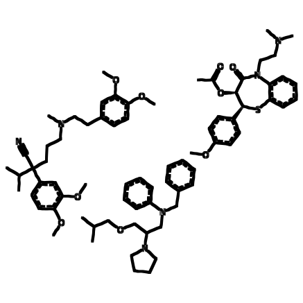 CC(C)COCC(CN(Cc1ccccc1)c1ccccc1)N1CCCC1.COc1ccc(CCN(C)CCCC(C#N)(c2ccc(OC)c(OC)c2)C(C)C)cc1OC.COc1ccc([C@@H]2Sc3ccccc3N(CCN(C)C)C(=O)[C@@H]2OC(C)=O)cc1